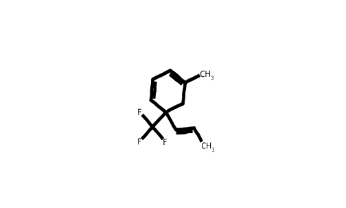 CC=CC1(C(F)(F)F)C=CC=C(C)C1